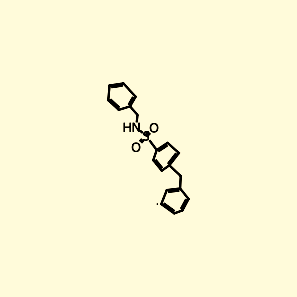 O=S(=O)(NCc1ccccc1)c1ccc(Cc2c[c]ccc2)cc1